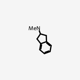 [CH2]NC1Cc2ccccc2C1